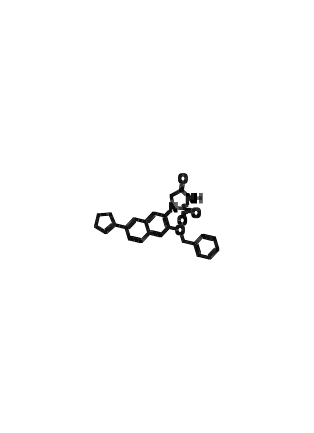 O=C1CN(c2cc3cc(C4=CCCC4)ccc3cc2OCc2ccccc2)S(=O)(=O)N1